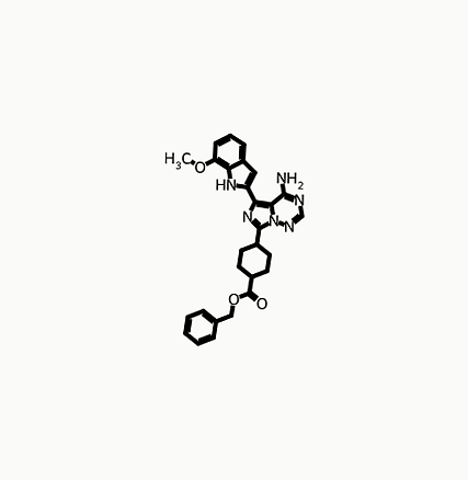 COc1cccc2cc(-c3nc(C4CCC(C(=O)OCc5ccccc5)CC4)n4ncnc(N)c34)[nH]c12